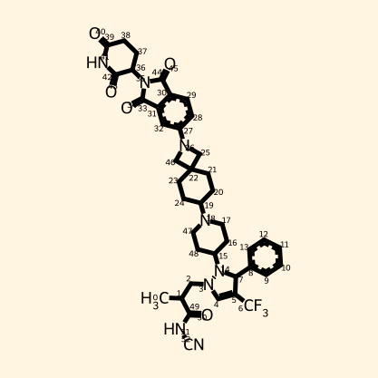 CC(CN1C=C(C(F)(F)F)C(c2ccccc2)N1C1CCN(C2CCC3(CC2)CN(c2ccc4c(c2)C(=O)N(C2CCC(=O)NC2=O)C4=O)C3)CC1)C(=O)NC#N